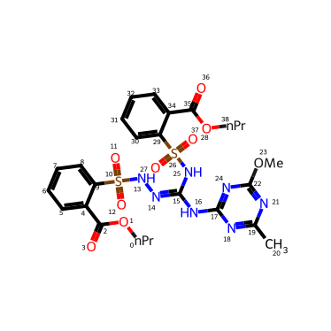 CCCOC(=O)c1ccccc1S(=O)(=O)NN=C(Nc1nc(C)nc(OC)n1)NS(=O)(=O)c1ccccc1C(=O)OCCC